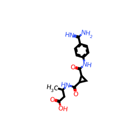 CC(CC(=O)O)NC(=O)C1CC1C(=O)Nc1ccc(C(=N)N)cc1